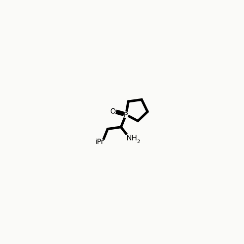 CC(C)CC(N)P1(=O)CCCC1